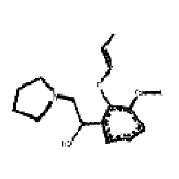 CC=COc1c(OC)cccc1C(O)CN1CCCC1